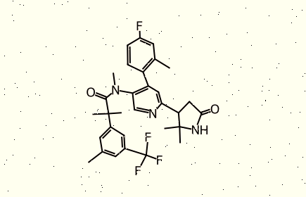 Cc1cc(C(F)(F)F)cc(C(C)(C)C(=O)N(C)c2cnc(C3CC(=O)NC3(C)C)cc2-c2ccc(F)cc2C)c1